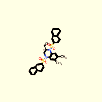 C=C[C@@H]1CN(S(=O)(=O)c2ccc3ccccc3c2)c2cc(C)c(C)cc2N1S(=O)(=O)c1ccc2ccccc2c1